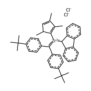 CC1=CC(C)[C]([Zr+2](=[C](c2ccc(C(C)(C)C)cc2)c2ccc(C(C)(C)C)cc2)[CH]2c3ccccc3-c3ccccc32)=C1C.[Cl-].[Cl-]